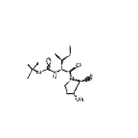 CC[C@H](C)[C@H](NC(=O)OC(C)(C)C)C(=O)N1CC[C@H](O)[C@@H]1C#N